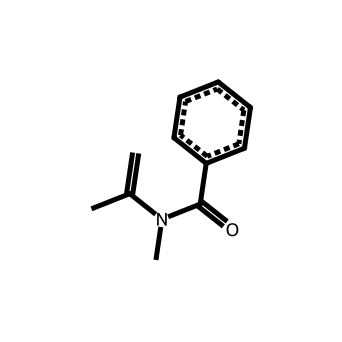 C=C(C)N(C)C(=O)c1ccccc1